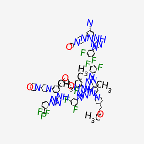 COCCC1CCN(c2cc(C)c(-c3ncn(-c4cc(F)cc(F)c4)n3)c(N)n2)CC1.Cc1cc(Nc2ncn(-c3cc(F)cc(F)c3)n2)c(F)c(OC2CCOC2)c1.Cc1cc(Nc2ncn(-c3cccc(C(F)(F)F)c3)n2)cc(N2CCC(N3CCOCC3)CC2)c1.N#Cc1cc(Nc2ncn(-c3cc(F)cc(F)c3)n2)nc(N2CCN(C3COC3)CC2)c1